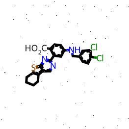 O=C(O)c1ccc(NCc2ccc(Cl)c(Cl)c2)cc1-c1ncc2c3c(sc2n1)CCCC3